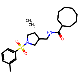 Cc1cccc(S(=O)(=O)N2CCC(CNC(=O)[C]3CCCCCCC3)C2)c1.[CH2].[CH2]